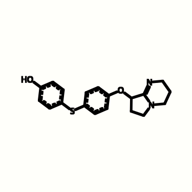 Oc1ccc(Sc2ccc(OC3CCN4CCCN=C34)cc2)cc1